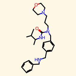 CC(C)C(C)NC(=O)N(CCCN1CCOCC1)Cc1ccc(CNCc2ccccc2)cc1